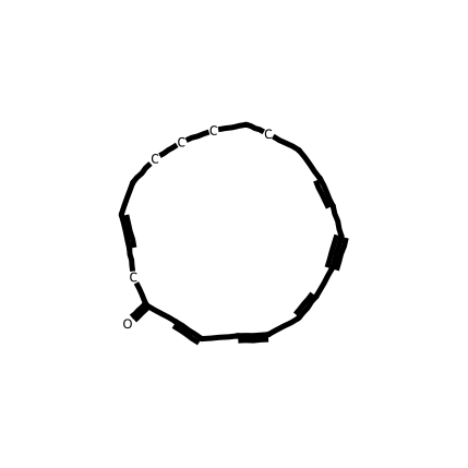 O=C1C=CC=CC=CC#CC=CCCCCCCCC=CC1